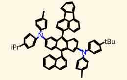 Cc1ccc(N(c2ccc(C(C)(C)C)cc2)c2ccc3c(-c4ccc5c6c(cccc46)-c4ccccc4-5)c4cc(N(c5ccc(C)cc5)c5ccc(C(C)C)cc5)ccc4c(-c4cccc5ccccc45)c3c2)cc1